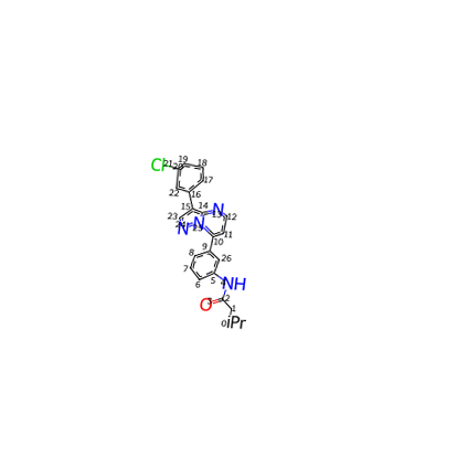 CC(C)CC(=O)Nc1cccc(-c2ccnc3c(-c4cccc(Cl)c4)cnn23)c1